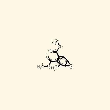 COC(=O)C1=C(C(=O)OC)C2(C)OC1C1OC12